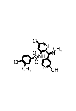 C/N=C(/c1ccnc(O)c1)c1ncc(Cl)cc1NS(=O)(=O)c1ccc(Cl)c(C)c1